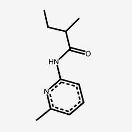 CCC(C)C(=O)Nc1cccc(C)n1